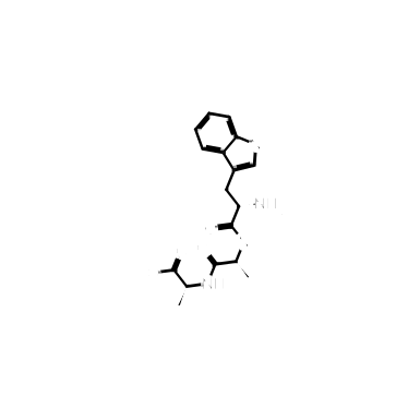 C[C@H](NC(=O)[C@H](C)NC(=O)[C@@H](N)Cc1c[nH]c2ccccc12)C(=O)O